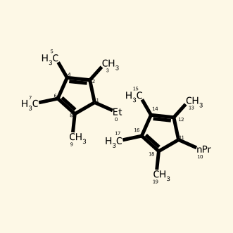 CCC1C(C)=C(C)C(C)=C1C.CCCC1C(C)=C(C)C(C)=C1C